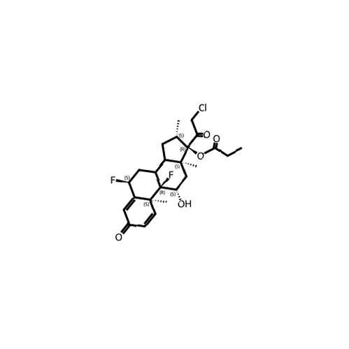 CCC(=O)O[C@]1(C(=O)CCl)[C@@H](C)CC2C3C[C@H](F)C4=CC(=O)C=C[C@]4(C)[C@@]3(F)[C@@H](O)C[C@@]21C